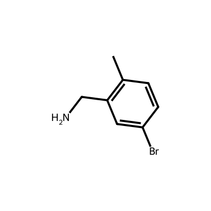 Cc1ccc(Br)cc1CN